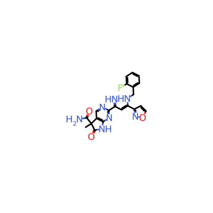 CC1(C(N)=O)C(=O)Nc2nc(C(=N)/C=C(\NCc3ccccc3F)c3ccon3)ncc21